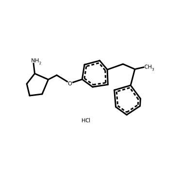 CC(Cc1ccc(OCC2CCCC2N)cc1)c1ccccc1.Cl